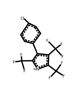 FC(F)(F)c1[nH]c(C(F)(F)F)c(C(F)(F)F)c1-c1ccc(Cl)cc1